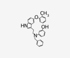 Cc1ccccc1Oc1ccc2[nH]cc(CCN(Cc3ccccc3)c3cccc(O)c3)c2c1